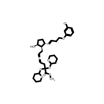 COC(=O)C(CC=C=CC[C@H]1[C@@H](O)CC[C@@H]1/C=C/CCOc1cccc(Cl)c1)(OC1CCCCO1)OC1CCCCO1